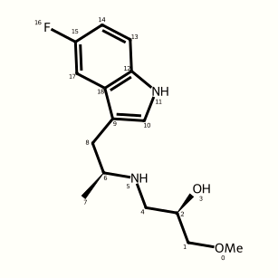 COC[C@H](O)CN[C@@H](C)Cc1c[nH]c2ccc(F)cc12